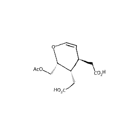 CC(=O)OC[C@@H]1OC=C[C@@H](CC(=O)O)[C@@H]1CC(=O)O